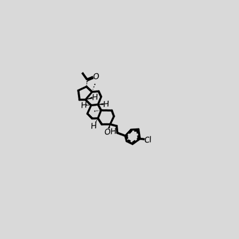 CC(=O)[C@H]1CC[C@H]2[C@@H]3CC[C@@H]4C[C@@](O)(CCc5ccc(Cl)cc5)CC[C@]4(C)[C@H]3CC[C@]12C